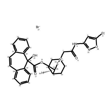 CCc1cc(NC(=O)C[N+]23CCC(CC2)[C@@H](OC(=O)C2(O)c4ccccc4C=Cc4ccccc42)C3)no1.[Br-]